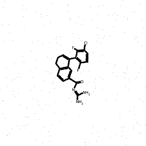 NC(N)=NC(=O)c1ccc2c(c1)C(c1c(F)ccc(Cl)c1F)=CCC2